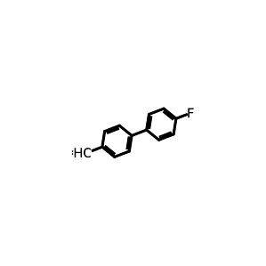 [CH]c1ccc(-c2ccc(F)cc2)cc1